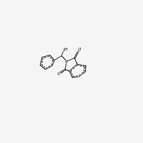 CC(C)C(c1ccccc1)N1C(=O)c2ccccc2C1=O